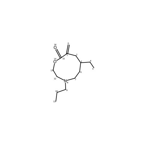 C=C1CC(CC)CCN(CCC)CCOC1=O